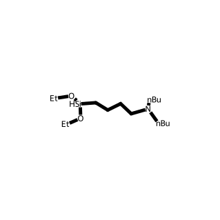 CCCCN(CCCC)CCCC[SiH](OCC)OCC